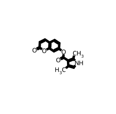 Cc1c[nH]c(C)c1C(=O)Oc1ccc2ccc(=O)oc2c1